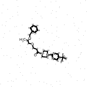 C[C@H](COCCC(=O)N1CCN(c2ncc(C(F)(F)F)cn2)CC1)OCc1ccccc1